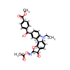 CCn1c2ccc(C(=O)c3ccc(C(=O)OC)cc3)cc2c2c3c(ccc21)C(=O)/C(=N/OC(C)=O)O3